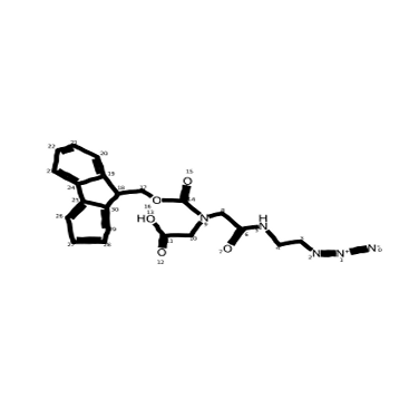 [N-]=[N+]=NCCNC(=O)CN(CC(=O)O)C(=O)OCC1c2ccccc2-c2ccccc21